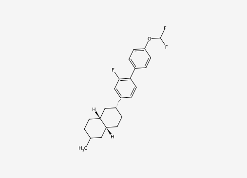 CC1CC[C@@H]2C[C@H](c3ccc(-c4ccc(OC(F)F)cc4)c(F)c3)CC[C@@H]2C1